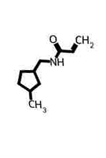 C=CC(=O)NCC1CCC(C)C1